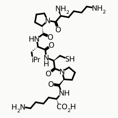 CC(C)C[C@H](NC(=O)[C@@H]1CCCN1C(=O)[C@@H](N)CCCCN)C(=O)N[C@@H](CS)C(=O)N1CCC[C@H]1C(=O)N[C@@H](CCCCN)C(=O)O